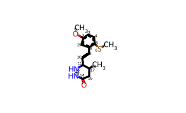 COc1ccc(SC)c(/C=C/C2NNC(=O)CC2C)c1